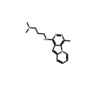 Cc1nnc(NCCCN(C)C)c2cc3ccccn3c12